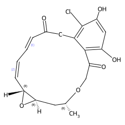 C[C@@H]1C[C@H]2O[C@@H]2/C=C\C=C\C(=O)Cc2c(Cl)c(O)cc(O)c2C(=O)CO1